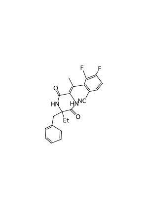 CCC1(Cc2ccccc2)NC(=O)C(=C(C)c2c(C#N)ccc(F)c2F)NC1=O